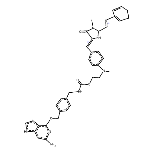 CN(CCOC(=O)NCc1ccc(COc2nc(N)nc3[nH]cnc23)cc1)c1ccc(/C=C2\NC(/C=C/C3=CCCC=C3)N(C)C2=O)cc1